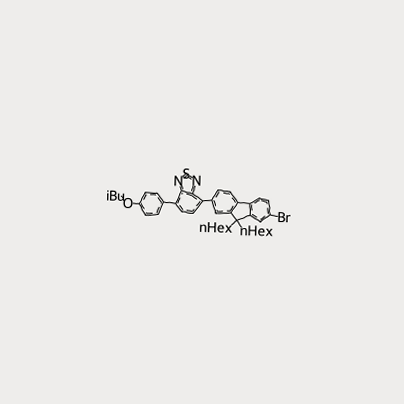 CCCCCCC1(CCCCCC)c2cc(Br)ccc2-c2ccc(-c3ccc(-c4ccc(OC(C)CC)cc4)c4nsnc34)cc21